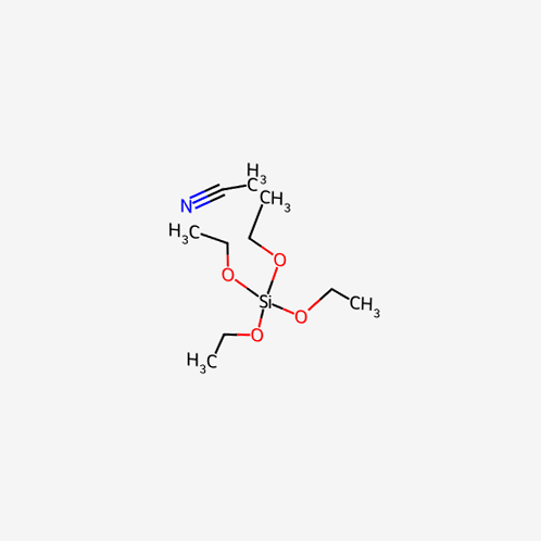 CC#N.CCO[Si](OCC)(OCC)OCC